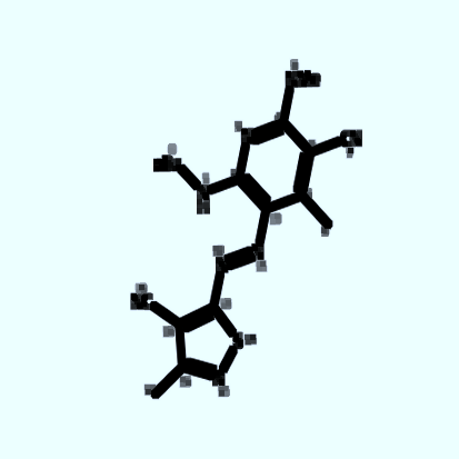 CCCCNc1nc(NC)c(C#N)c(C)c1N=Nc1snc(C)c1C#N